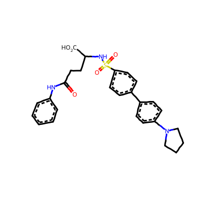 O=C(CCC(NS(=O)(=O)c1ccc(-c2ccc(N3CCCC3)cc2)cc1)C(=O)O)Nc1ccccc1